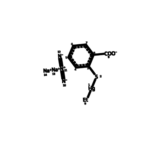 C[CH2][Hg][S]c1ccccc1C(=O)[O-].[N-]=[N+]=[N-].[Na+].[Na+]